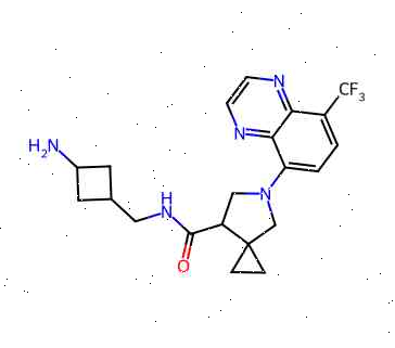 NC1CC(CNC(=O)C2CN(c3ccc(C(F)(F)F)c4nccnc34)CC23CC3)C1